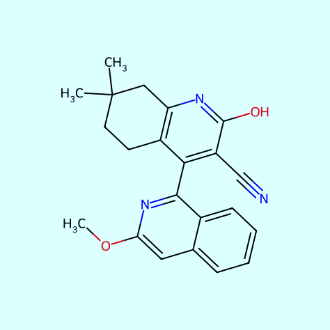 COc1cc2ccccc2c(-c2c(C#N)c(O)nc3c2CCC(C)(C)C3)n1